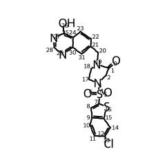 O=C1CN(S(=O)(=O)c2cc3ccc(Cl)cc3s2)CCN1Cc1ccc2c(O)ncnc2c1